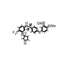 COc1ccc(Sc2ccc(S(=O)(=O)Nc3ccc(C(F)(F)F)c(O[C@]4(C)CCNC4)c3)cc2)cc1OC